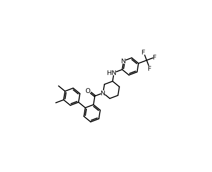 Cc1ccc(-c2ccccc2C(=O)N2CCCC(Nc3ccc(C(F)(F)F)cn3)C2)cc1C